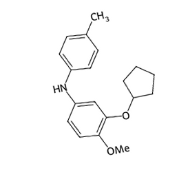 COc1ccc(Nc2ccc(C)cc2)cc1OC1CCCC1